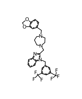 FC(F)(F)c1cc(Cn2c(CN3CCCN(Cc4ccc5c(c4)OCO5)CC3)nc3ccccc32)cc(C(F)(F)F)c1